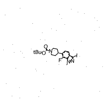 Cn1nc(I)c2ccc(C3CCN(C(=O)OC(C)(C)C)CC3)c(F)c21